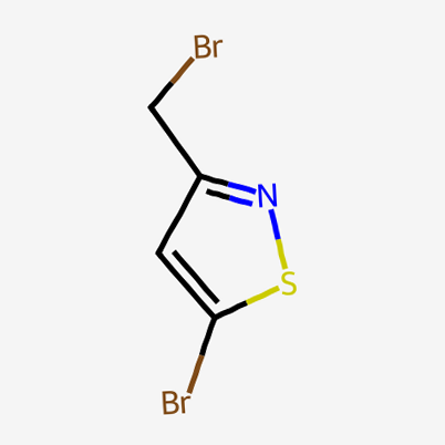 BrCc1cc(Br)sn1